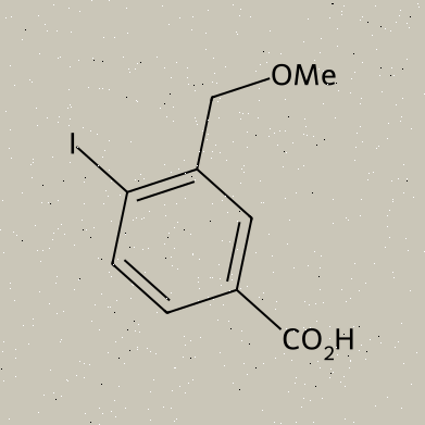 COCc1cc(C(=O)O)ccc1I